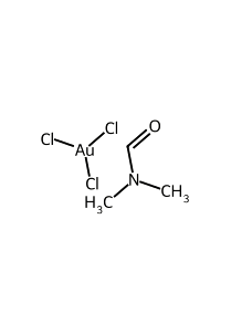 CN(C)C=O.[Cl][Au]([Cl])[Cl]